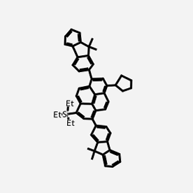 CC[Si](CC)(CC)c1cc(-c2ccc3c(c2)C(C)(C)c2ccccc2-3)c2ccc3c(C4CCCC4)cc(-c4ccc5c(c4)C(C)(C)c4ccccc4-5)c4ccc1c2c43